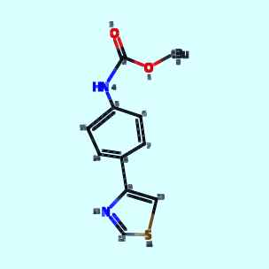 CC(C)(C)OC(=O)Nc1ccc(-c2cscn2)cc1